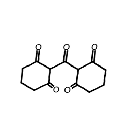 O=C1CCCC(=O)C1C(=O)C1C(=O)CCCC1=O